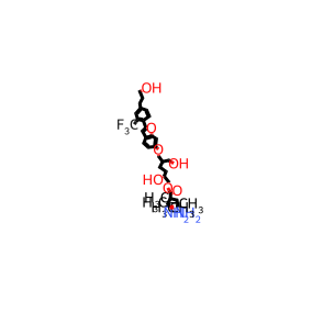 CC(C)(N)CC(C)(C(=O)OCC(O)CCC(CO)COc1ccc2cc(-c3ccc(CCCO)cc3C(F)(F)F)oc2c1)C(C)(C)N